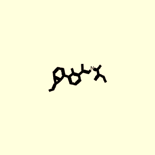 C=C(CC)/C(C)=N\C=C(/C)c1cccc(-c2cccc3c2/C3=C/C)c1C